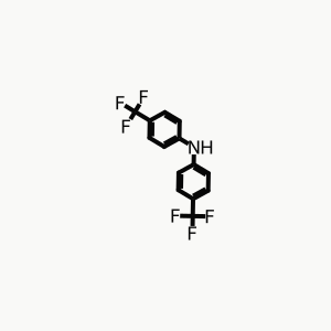 FC(F)(F)c1ccc(Nc2ccc(C(F)(F)F)cc2)cc1